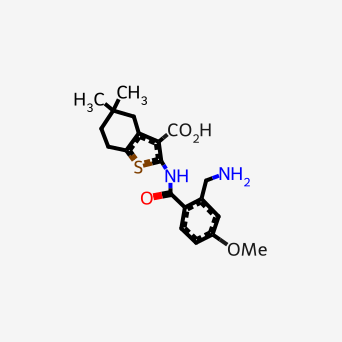 COc1ccc(C(=O)Nc2sc3c(c2C(=O)O)CC(C)(C)CC3)c(CN)c1